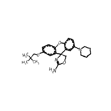 CC(C)(C)COc1ccc2c(c1)[C@]1(COC(N)=N1)c1cc(N3CCCCC3)ccc1O2